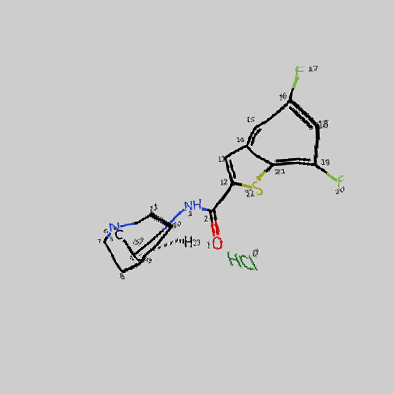 Cl.O=C(N[C@@H]1CN2CCC1CC2)c1cc2cc(F)cc(F)c2s1